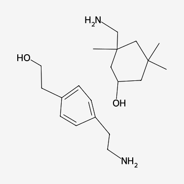 CC1(C)CC(O)CC(C)(CN)C1.NCCc1ccc(CCO)cc1